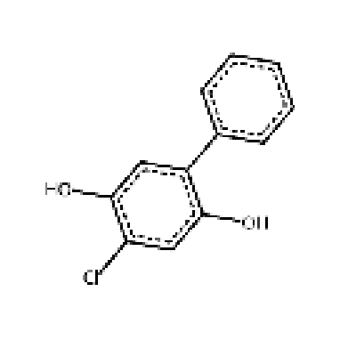 Oc1cc(-c2ccccc2)c(O)cc1Cl